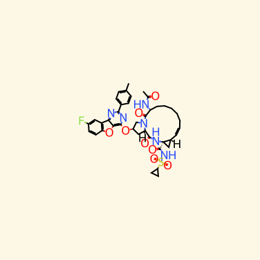 CC(=O)N[C@H]1CCCCC/C=C\[C@@H]2C[C@@]2(C(=O)NS(=O)(=O)C2CC2)NC(=O)[C@@H]2C[C@@H](Oc3nc(-c4ccc(C)cc4)nc4c3oc3ccc(F)cc34)CN2C1=O